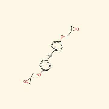 c1c[c]([Au][c]2ccc(OCC3CO3)cc2)ccc1OCC1CO1